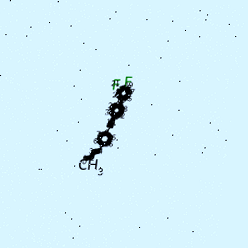 CCCC=C[C@H]1CC[C@H](C#Cc2ccc(-c3ccc(F)c(F)c3)cc2)CC1